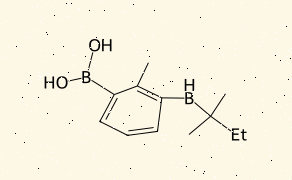 CCC(C)(C)Bc1cccc(B(O)O)c1C